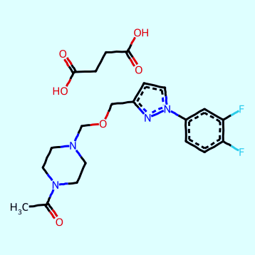 CC(=O)N1CCN(COCc2ccn(-c3ccc(F)c(F)c3)n2)CC1.O=C(O)CCC(=O)O